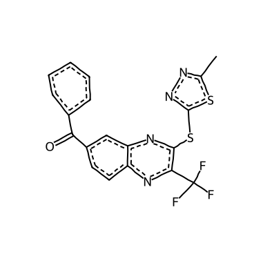 Cc1nnc(Sc2nc3cc(C(=O)c4ccccc4)ccc3nc2C(F)(F)F)s1